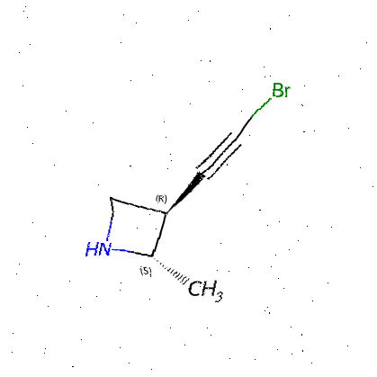 C[C@@H]1NC[C@H]1C#CBr